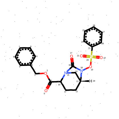 O=C(OCc1ccccc1)C1CC[C@@H]2CN1C(=O)N2OS(=O)(=O)c1ccccc1